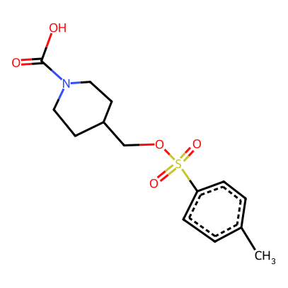 Cc1ccc(S(=O)(=O)OCC2CCN(C(=O)O)CC2)cc1